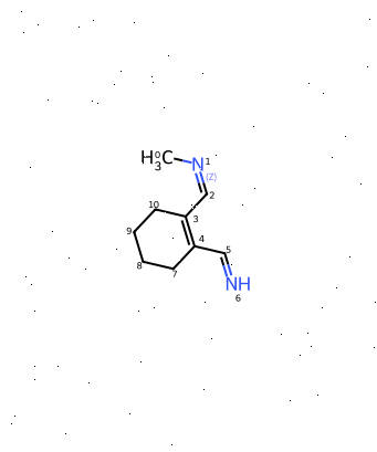 C/N=C\C1=C(C=N)CCCC1